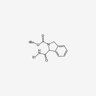 CCNC(=O)C1c2ccccc2CN1C(=O)OC(C)(C)C